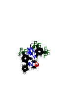 Cn1nnc(N(Cc2cc(C(F)(F)F)cc(C(F)(F)F)c2)Cc2cc(C(F)(F)F)ccc2C(C2CCCC2)N2CCOCC2)n1